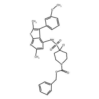 COc1cccc(-c2c(C)sc3nc(C)cc(NS(=O)(=O)C4(Cl)CCN(C(=O)OCc5ccccc5)CC4)c23)c1